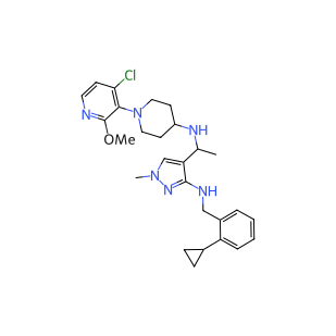 COc1nccc(Cl)c1N1CCC(NC(C)c2cn(C)nc2NCc2ccccc2C2CC2)CC1